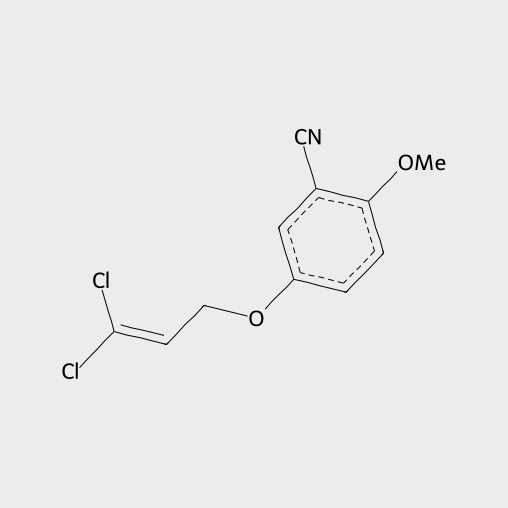 COc1ccc(OCC=C(Cl)Cl)cc1C#N